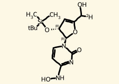 [2H]C(O)C1=C[C@@H](O[Si](C)(C)C(C)(C)C)[C@H](n2ccc(NO)nc2=O)O1